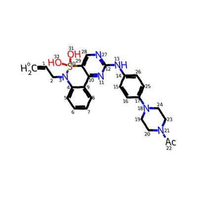 C=CCN1c2ccccc2-c2nc(Nc3ccc(N4CCN(C(C)=O)CC4)cc3)ncc2S1(O)O